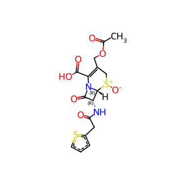 CC(=O)OCC1=C(C(=O)O)N2C(=O)[C@@H](NC(=O)Cc3cccs3)[C@H]2[S+]([O-])C1